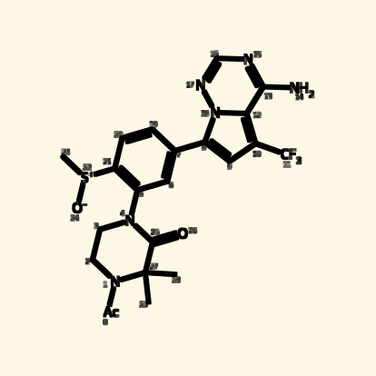 CC(=O)N1CCN(c2cc(-c3cc(C(F)(F)F)c4c(N)ncnn34)ccc2[S+](C)[O-])C(=O)C1(C)C